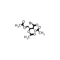 CC(=O)OC[C@H](OC(C)=O)[C@@H](OC(C)=O)C(=O)Br